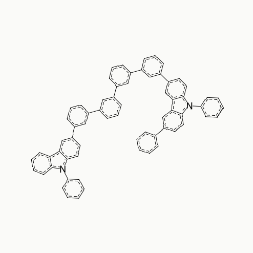 c1ccc(-c2ccc3c(c2)c2cc(-c4cccc(-c5cccc(-c6cccc(-c7cccc(-c8ccc9c(c8)c8ccccc8n9-c8ccccc8)c7)c6)c5)c4)ccc2n3-c2ccccc2)cc1